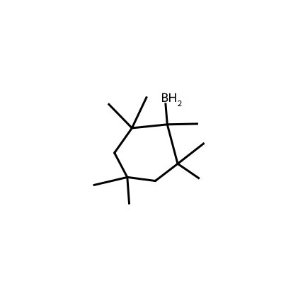 BC1(C)C(C)(C)CC(C)(C)CC1(C)C